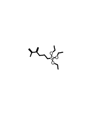 C=C(C)C(=C)CCC[Si](OCC)(OCC)OCC